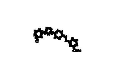 COc1cc(CCN2CCN(c3nc(-c4ccnc(Cl)c4)ns3)CC2)ccn1